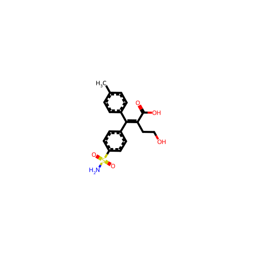 Cc1ccc(C(=C(CCO)C(=O)O)c2ccc(S(N)(=O)=O)cc2)cc1